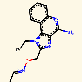 C/C=N/OCc1nc2c(N)nc3ccccc3c2n1CC(C)C